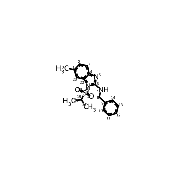 Cc1ccc2nc(NCc3ccccc3)n(S(=O)(=O)C(C)C)c2c1